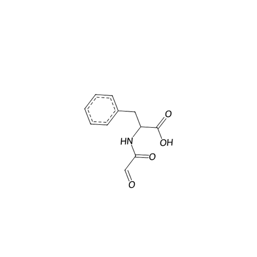 O=CC(=O)NC(Cc1ccccc1)C(=O)O